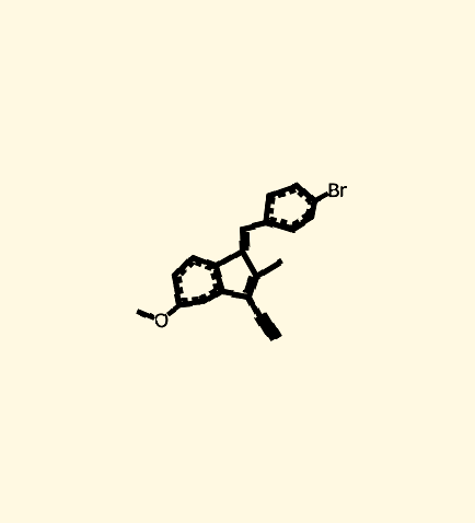 C#CC1=C(C)C(=Cc2ccc(Br)cc2)c2ccc(OC)cc21